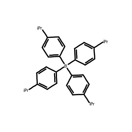 CC(C)c1ccc([B-](c2ccc(C(C)C)cc2)(c2ccc(C(C)C)cc2)c2ccc(C(C)C)cc2)cc1